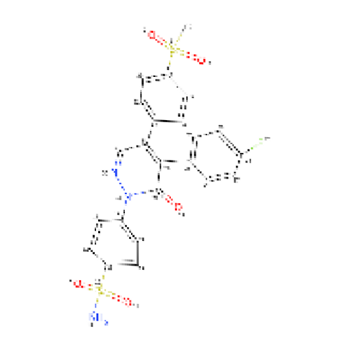 CS(=O)(=O)c1ccc(-c2cnn(-c3ccc(S(N)(=O)=O)cc3)c(=O)c2-c2ccc(F)cc2)cc1